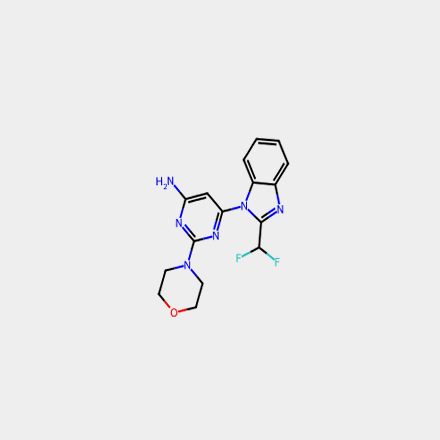 Nc1cc(-n2c(C(F)F)nc3ccccc32)nc(N2CCOCC2)n1